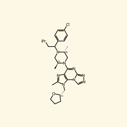 Cc1nc2c(N3C[C@@H](C)N(C(CC(C)C)c4ccc(Cl)cc4)C[C@@H]3C)nc3nncn3c2n1C[C@@H]1CCCO1